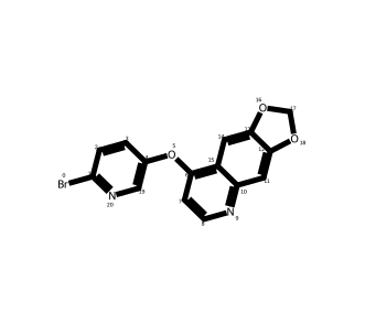 Brc1ccc(Oc2ccnc3cc4c(cc23)OCO4)cn1